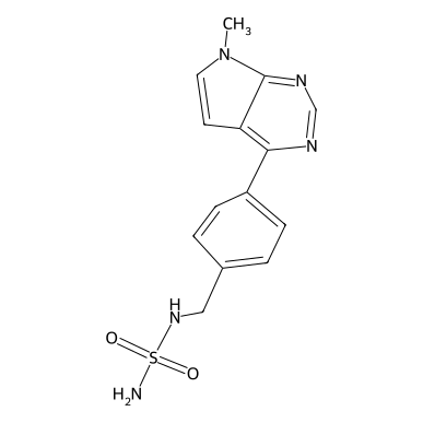 Cn1ccc2c(-c3ccc(CNS(N)(=O)=O)cc3)ncnc21